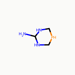 NC1NCPCN1